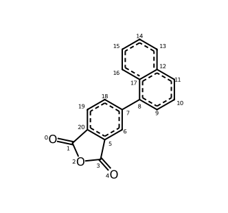 O=C1OC(=O)c2cc(-c3cccc4ccccc34)ccc21